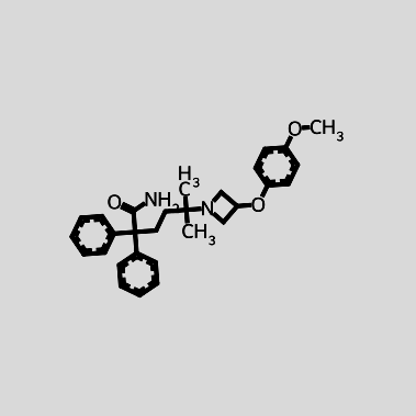 COc1ccc(OC2CN(C(C)(C)CCC(C(N)=O)(c3ccccc3)c3ccccc3)C2)cc1